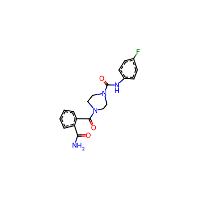 NC(=O)c1ccccc1C(=O)N1CCN(C(=O)Nc2ccc(F)cc2)CC1